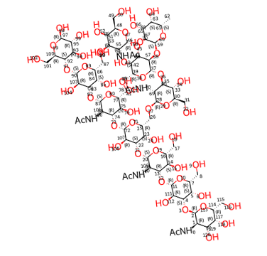 CC(=O)N[C@H]1[C@@H](O[C@H]2[C@@H](O)[C@@H](CO)O[C@@H](O[C@H]3[C@H](O)[C@@H](CO)O[C@@H](O[C@H]4[C@@H](O)[C@@H](CO[C@@H]5O[C@H](CO)[C@@H](O)[C@H](O[C@@H]6O[C@H](CO)[C@H](O)[C@H](O[C@H]7O[C@H](CO)[C@H](O)[C@H](O)[C@H]7NC(C)=O)[C@H]6O[C@@H]6O[C@@H](C)[C@@H](O)[C@@H](O)[C@@H]6O)[C@H]5NC(C)=O)O[C@@H](O[C@H]5[C@H](O)[C@@H](CO)O[C@@H](O[C@H]6[C@@H](O)[C@@H](CO)O[C@@H](O[C@H]7[C@H](O)[C@@H](O)[C@H](O)O[C@@H]7CO)[C@@H]6O)[C@@H]5NC(C)=O)[C@@H]4O)[C@@H]3NC(C)=O)[C@@H]2O)O[C@H](CO)[C@H](O)[C@@H]1O